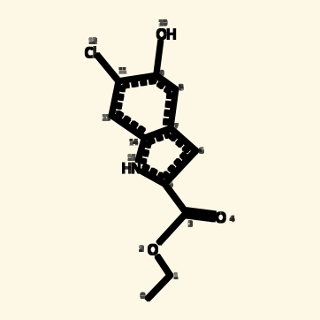 CCOC(=O)c1cc2cc(O)c(Cl)cc2[nH]1